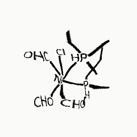 C[PH](C)(C)[Ni]([Cl])([CH]=O)([CH]=O)([CH]=O)[PH](C)(C)C